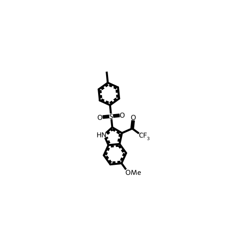 COc1ccc2[nH]c(S(=O)(=O)c3ccc(C)cc3)c(C(=O)C(F)(F)F)c2c1